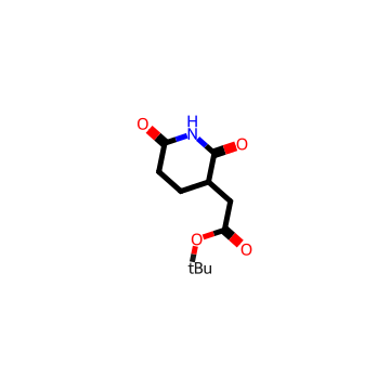 CC(C)(C)OC(=O)CC1CCC(=O)NC1=O